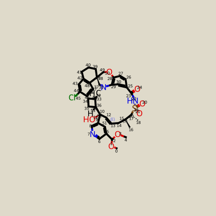 COC(OC)c1cncc([C@@]2(O)/C=C/C[C@H](C)[C@@H](C)S(=O)(=O)NC(=O)c3ccc4c(c3)N(C[C@@H]3CC[C@H]32)C[C@@]2(CCCc3cc(Cl)ccc32)CO4)c1